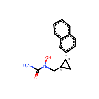 NC(=O)N(O)C[C@@H]1C[C@H]1c1ccc2ccccc2c1